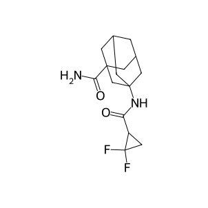 NC(=O)C12CC3CC(CC(NC(=O)C4CC4(F)F)(C3)C1)C2